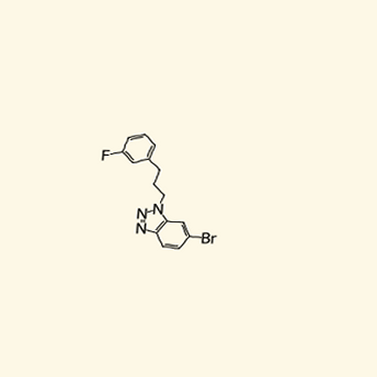 Fc1cccc(CCCn2nnc3ccc(Br)cc32)c1